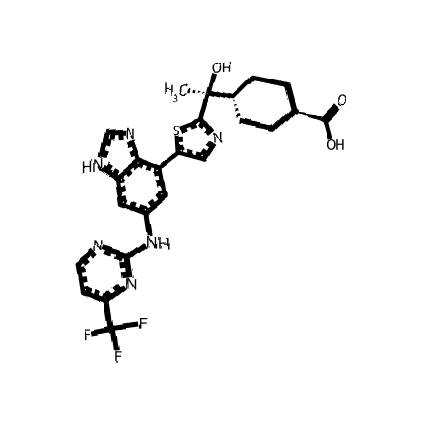 C[C@@](O)(c1ncc(-c2cc(Nc3nccc(C(F)(F)F)n3)cc3[nH]cnc23)s1)[C@H]1CC[C@H](C(=O)O)CC1